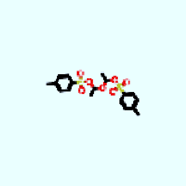 Cc1ccc(S(=O)(=O)OC(C)OC(C)OS(=O)(=O)c2ccc(C)cc2)cc1